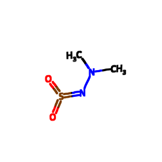 CN(C)N=S(=O)=O